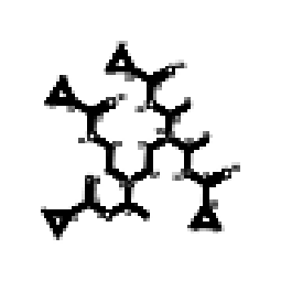 CC(OC(=O)C1CC1)N(CCOC(=O)C1CC1)CCN(C(C)OC(=O)C1CC1)C(C)OC(=O)C1CC1